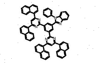 c1ccc(-n2c(-c3cc(-c4nc(-c5cccc6ccccc56)cc(-c5cccc6ccccc56)n4)cc(-c4nc(-c5cccc6ccccc56)cc(-c5cccc6ccccc56)n4)c3)nc3ccccc32)cc1